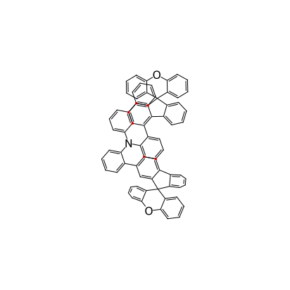 c1ccc(-c2cccc(N(c3ccccc3-c3ccc4c(c3)C3(c5ccccc5Oc5ccccc53)c3ccccc3-4)c3ccccc3-c3cccc4c3-c3ccccc3C43c4ccccc4Oc4ccccc43)c2)cc1